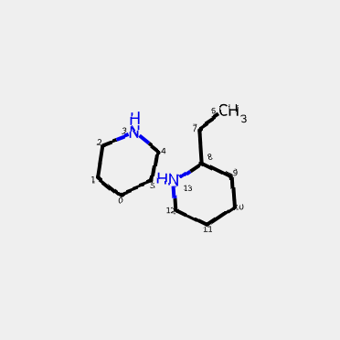 C1CCNCC1.CCC1CCCCN1